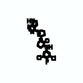 O=C1C(Nc2cc(Cl)c(F)c(Cl)c2)CCCN1C1CCCN(c2ncnc3[nH]ccc23)C1